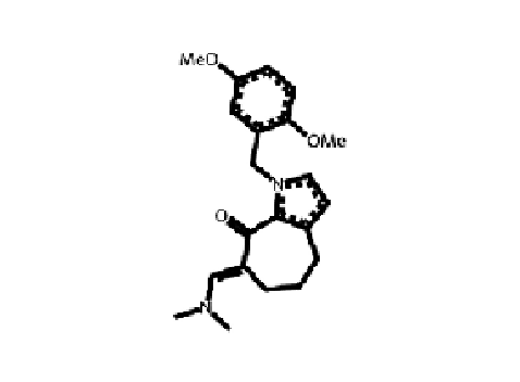 COc1ccc(OC)c(Cn2ccc3c2C(=O)/C(=C/N(C)C)CCC3)c1